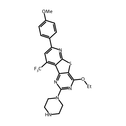 CCOc1nc(N2CCNCC2)nc2c1sc1nc(-c3ccc(OC)cc3)cc(C(F)(F)F)c12